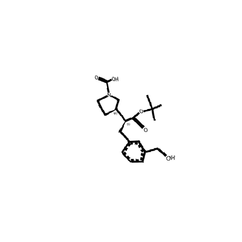 CC(C)(C)OC(=O)[C@@H](Cc1cccc(CO)c1)[C@H]1CCN(C(=O)O)C1